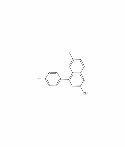 Cc1ccc(-c2cc(O)nc3ccc(C)cc23)cc1